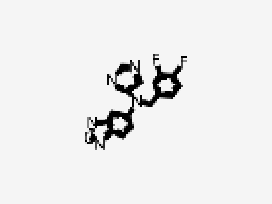 Fc1ccc(CN(c2cncnc2)c2ccc3nonc3c2)cc1F